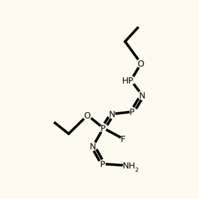 CCOP/N=P\N=P(F)(/N=P\N)OCC